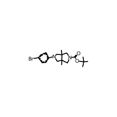 CC(C)(C)OC(=O)N1CC2(C)CN(c3ccc(Br)cc3)CC2(C)C1